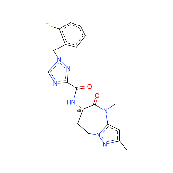 Cc1cc2n(n1)CC[C@H](NC(=O)c1ncn(Cc3ccccc3F)n1)C(=O)N2C